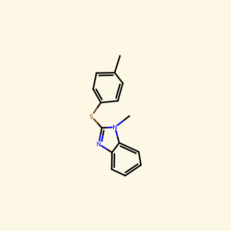 Cc1ccc(Sc2nc3ccccc3n2C)cc1